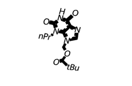 CCCn1c(=O)[nH]c(=O)c2ncn(COC(=O)C(C)(C)C)c21